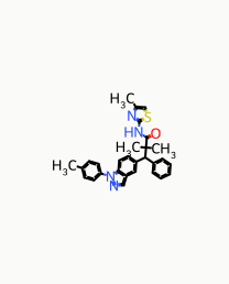 Cc1ccc(-n2ncc3cc(C(c4ccccc4)C(C)(C)C(=O)Nc4nc(C)cs4)ccc32)cc1